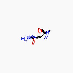 CN[C@H](C=O)CCCNC(N)=O